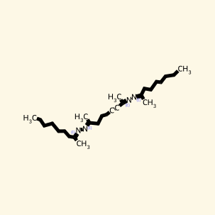 CCCCCCC/C(C)=N/N=C(\C)CCCCC/C(C)=N/N=C(\C)CCCCCCC